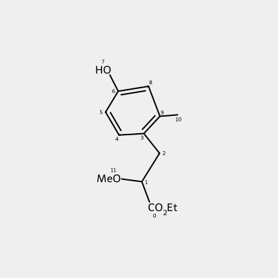 CCOC(=O)C(Cc1ccc(O)cc1C)OC